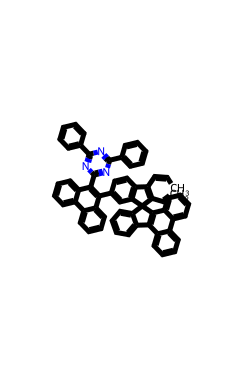 C=CC1=C(/C=C\C)c2ccc(-c3c(-c4nc(-c5ccccc5)nc(-c5ccccc5)n4)c4ccccc4c4ccccc34)cc2C12c1ccccc1-c1c2c2ccccc2c2ccccc12